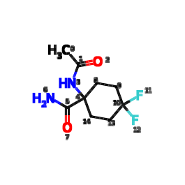 CC(=O)NC1(C(N)=O)CCC(F)(F)CC1